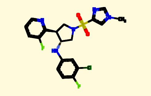 Cn1cnc(S(=O)(=O)N2C[C@H](Nc3ccc(F)c(Cl)c3)[C@@H](c3ncccc3F)C2)c1